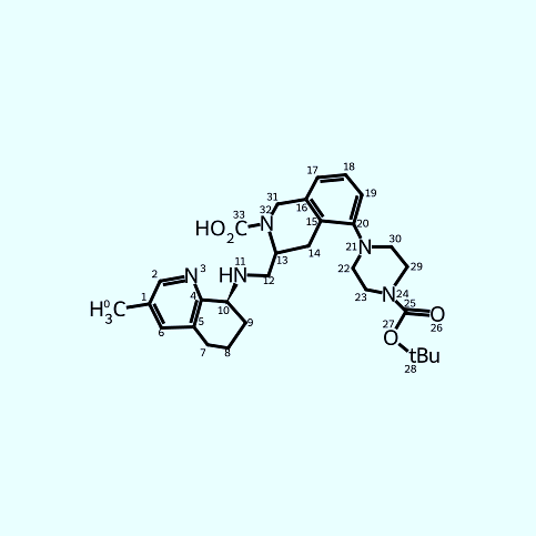 Cc1cnc2c(c1)CCC[C@@H]2NCC1Cc2c(cccc2N2CCN(C(=O)OC(C)(C)C)CC2)CN1C(=O)O